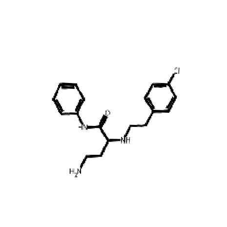 NCCC(NCCc1ccc(Cl)cc1)C(=O)Nc1ccccc1